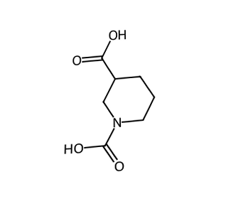 O=C(O)C1CCCN(C(=O)O)C1